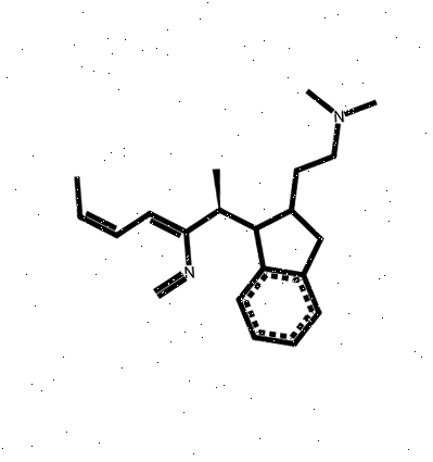 C=N/C(=C\C=C/C)[C@@H](C)C1c2ccccc2CC1CCN(C)C